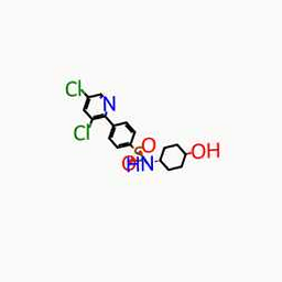 O=S(=O)(N[C@H]1CC[C@H](O)CC1)c1ccc(-c2ncc(Cl)cc2Cl)cc1